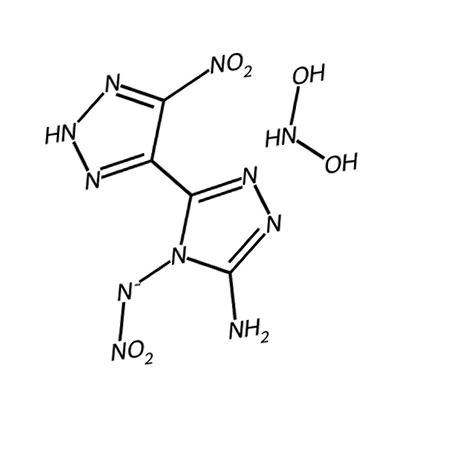 Nc1nnc(-c2n[nH]nc2[N+](=O)[O-])n1[N-][N+](=O)[O-].ONO